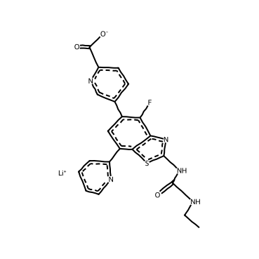 CCNC(=O)Nc1nc2c(F)c(-c3ccc(C(=O)[O-])nc3)cc(-c3ccccn3)c2s1.[Li+]